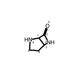 O=C1NC2CCNC12